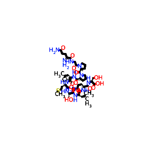 CSCC[C@H](NC(=O)[C@H](CC(C)C)NC(=O)[C@@H]1CCCN1C(=O)[C@@H]1CCCN1C(=O)CNC(=O)[C@@H](N)CCC(N)=O)C(=O)N[C@@H](CO)C(=O)N[C@@H](CC(C)C)C(=O)N[C@@H](CCC(N)=O)C(=O)N[C@@H](CO)C(=O)O